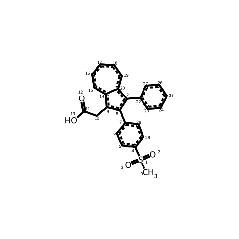 CS(=O)(=O)c1ccc(-c2c(CC(=O)O)c3cccccc-3c2-c2ccccc2)cc1